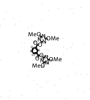 COc1nc(OC)nc(OC(=O)c2cccc(C(=O)Oc3nc(OC)nc(OC)n3)c2)n1